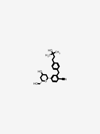 CC(C)(O)CCc1ccc(Cc2cc([C@H]3CC(O)C[C@@H](CO)O3)ccc2C#N)cc1